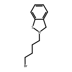 BrCCCCN1Cc2ccccc2S1